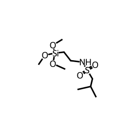 CO[Si](CCNS(=O)(=O)CC(C)C)(OC)OC